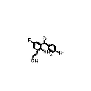 Nc1c(CCO)cc(F)cc1C(=O)c1ccc(Br)cc1